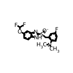 CN(C)c1ccc(F)cc1C[S+]([O-])c1nc2cc(OC(F)F)ccc2[nH]1